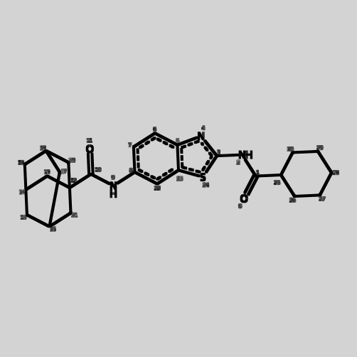 O=C(Nc1nc2ccc(NC(=O)C34CC5CC(CC(C5)C3)C4)cc2s1)C1CCCCC1